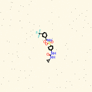 O=C(Nc1ccc(S(=O)(=O)NC(=O)c2cccc(C(F)(F)F)c2)cc1)NC1CC1